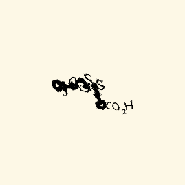 O=C(O)c1cccc(CCN2C(=O)C(=Cc3ccc(-c4cc5ccccc5s4)o3)SC2=S)c1